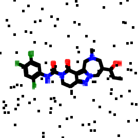 CCC(O)C1CN(C)Cc2c3c(nn2C1)CCN(C(=O)Nc1cc(Cl)c(F)cc1F)C3=O